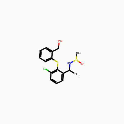 CC(N[S+]([O-])C(C)(C)C)c1cccc(Cl)c1Sc1ccccc1CO